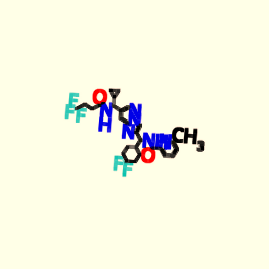 Cc1cccc(C(=O)N[C@H](c2cn3ncc(C(NC(=O)CCC(F)(F)F)C4CC4)cc3n2)C2CCC(F)(F)CC2)n1